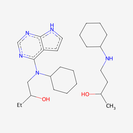 CC(O)CCNC1CCCCC1.CCC(O)CN(c1ncnc2[nH]ccc12)C1CCCCC1